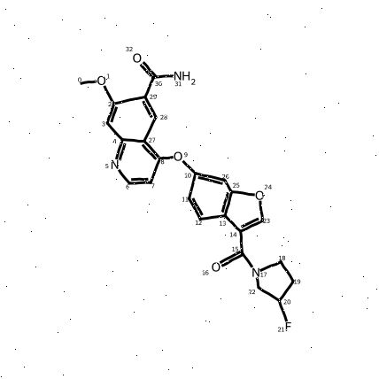 COc1cc2nccc(Oc3ccc4c(C(=O)N5CCC(F)C5)coc4c3)c2cc1C(N)=O